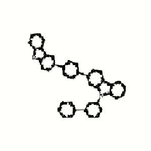 c1ccc(-c2cccc(-n3c4ccccc4c4ccc(-c5ccc(-c6ccc7oc8ccccc8c7c6)cc5)cc43)c2)cc1